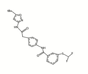 CC(C)(C)c1cc(NC(=O)Cc2ccc(NC(=O)c3cccc(SC(F)F)c3)cc2)no1